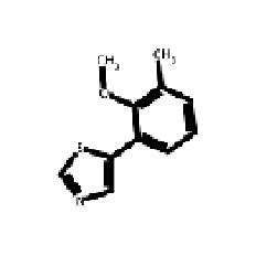 COc1c(C)cccc1-c1cncs1